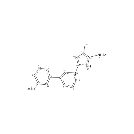 COc1cncc(-c2ccnc(-c3nc(C)c(NC(C)=O)[nH]3)c2)c1